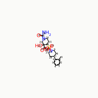 Cc1ccccc1C1CCN(S(=O)(=O)C2CCN(C(N)=O)CC2(O)C(=O)O)CC1